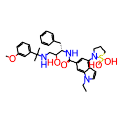 CCn1ccc2c(N3CCCS3(O)O)cc(C(=O)N[C@@H](Cc3ccccc3)[C@@H](O)CNC(C)(C)c3cccc(OC)c3)cc21